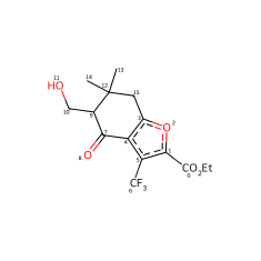 CCOC(=O)c1oc2c(c1C(F)(F)F)C(=O)C(CO)C(C)(C)C2